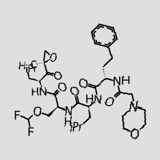 CC(C)C[C@H](NC(=O)[C@H](CCc1ccccc1)NC(=O)CN1CCOCC1)C(=O)N[C@@H](COC(F)F)C(=O)N[C@@H](CC(C)C)C(=O)[C@@]1(C)CO1